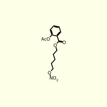 CC(=O)Oc1ccccc1C(=O)OCCCCCO[N+](=O)[O-]